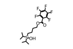 CC(C)[Si](O)(CCCCOC(=O)c1c(F)c(F)c(F)c(F)c1F)C(C)C